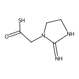 N=C1NCCN1CC(=O)S